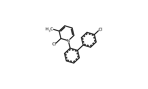 CC1=CC=CN(c2ccccc2-c2ccc(Cl)cc2)C1Cl